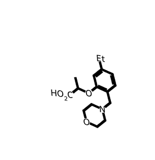 CCc1ccc(CN2CCOCC2)c(OC(C)C(=O)O)c1